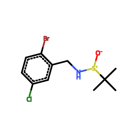 CC(C)(C)[S+]([O-])NCc1cc(Cl)ccc1Br